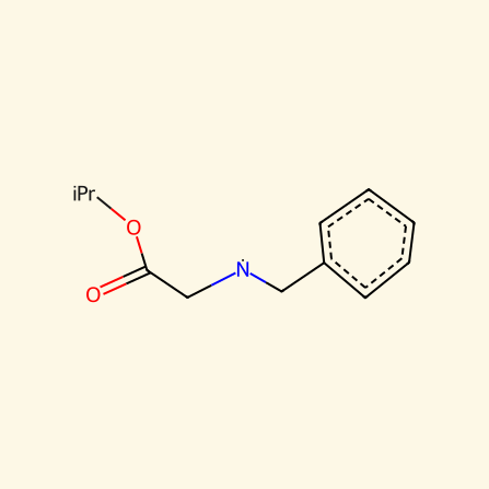 CC(C)OC(=O)C[N]Cc1ccccc1